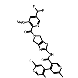 COc1cnc(Cl)cc1-c1cc(C)ncc1C(=O)Nc1nc2c(s1)CN(C(=O)c1ncc(C(F)F)cc1OC)C2